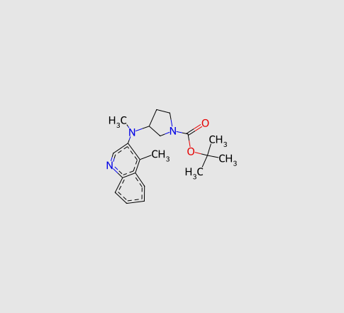 Cc1c(N(C)C2CCN(C(=O)OC(C)(C)C)C2)cnc2ccccc12